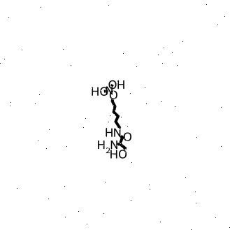 NC(CO)C(=O)NCCCCCCON(O)O